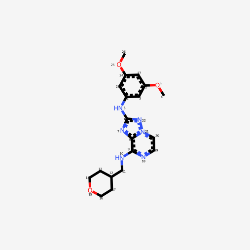 COc1cc(Nc2nc3c(NCC4CCOCC4)nccn3n2)cc(OC)c1